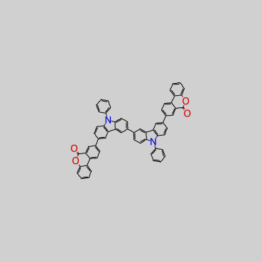 O=c1oc2ccccc2c2ccc(-c3ccc4c(c3)c3cc(-c5ccc6c(c5)c5cc(-c7ccc8c(c7)c(=O)oc7ccccc78)ccc5n6-c5ccccc5)ccc3n4-c3ccccc3)cc12